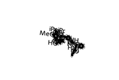 C=CCOC(=O)N[C@@H](Cc1ccccc1)C(=O)NCC(=O)Nc1ccc(COC(=O)Nc2cc(O[Si](C(C)C)(C(C)C)C(C)C)c(OC)cc2C(=O)N2CC3(CC3)C[C@H]2CO)cc1